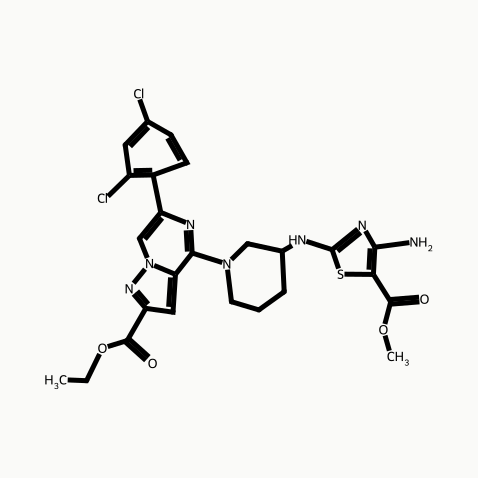 CCOC(=O)c1cc2c(N3CCCC(Nc4nc(N)c(C(=O)OC)s4)C3)nc(-c3ccc(Cl)cc3Cl)cn2n1